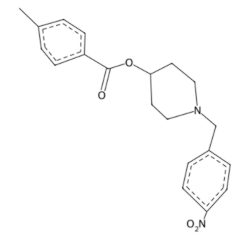 Cc1ccc(C(=O)OC2CCN(Cc3ccc([N+](=O)[O-])cc3)CC2)cc1